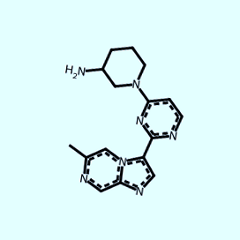 Cc1cn2c(-c3nccc(N4CCCC(N)C4)n3)cnc2cn1